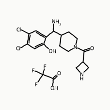 NC(c1cc(Cl)c(Cl)cc1O)C1CCN(C(=O)C2CNC2)CC1.O=C(O)C(F)(F)F